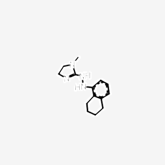 CN1CCN=C1NNc1cccc2c1CCCC2